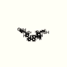 COc1cc(-c2nccc(-c3cccc4c3CCC[C@@H]4Nc3nc(OC)c(CNC[C@@H](C)O)cc3C(F)(F)F)c2Cl)ccc1CNC[C@H]1CCC(=O)N1